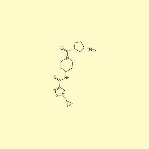 N[C@H]1CC[C@@H](C(=O)N2CCC(NC(=O)c3cc(C4CC4)on3)CC2)C1